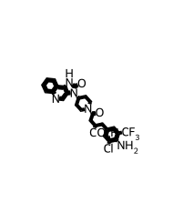 Nc1c(Cl)cc(CC(CC(=O)N2CCC(n3c(=O)[nH]c4c5ccccc5ncc43)CC2)C(=O)O)cc1C(F)(F)F